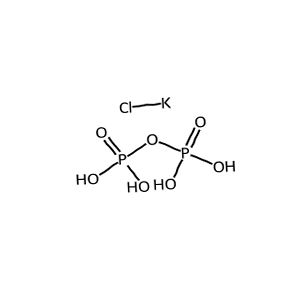 O=P(O)(O)OP(=O)(O)O.[Cl][K]